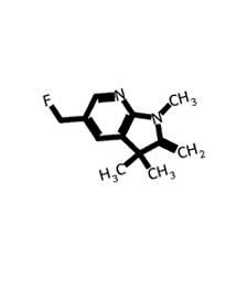 C=C1N(C)c2ncc(CF)cc2C1(C)C